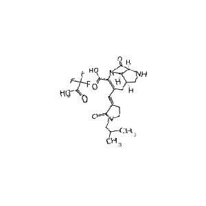 CC(C)CN1CC/C(=C\C2=C(C(=O)O)N3C(=O)[C@H]4NC[C@@H](C2)[C@H]43)C1=O.O=C(O)C(F)(F)F